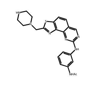 CC(=O)Nc1cccc(Nc2ncc3ccc4sc(CN5CCNCC5)nc4c3n2)c1